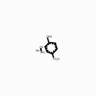 O=Cc1ccc(C(=O)O)cc1.[BH3-]C#N.[Na+]